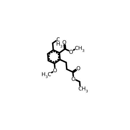 CCOC(=O)CCc1c(OC)ccc(CC)c1C(=O)OC